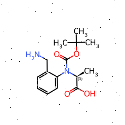 C[C@@H](C(=O)O)N(C(=O)OC(C)(C)C)c1ccccc1CN